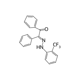 O=C(C(=NNc1ccccc1C(F)(F)F)c1ccccc1)c1ccccc1